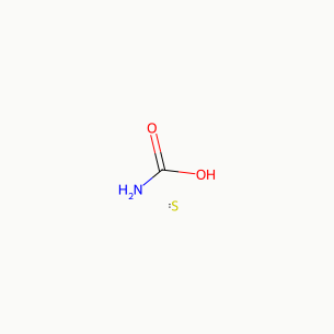 NC(=O)O.[S]